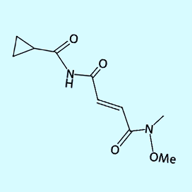 CON(C)C(=O)/C=C/C(=O)NC(=O)C1CC1